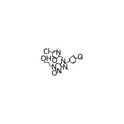 COc1ccc(C2N(C)c3c(c(=O)n(CCCO)c(=O)n3C)N2Cc2ccc(Cl)cn2)cc1